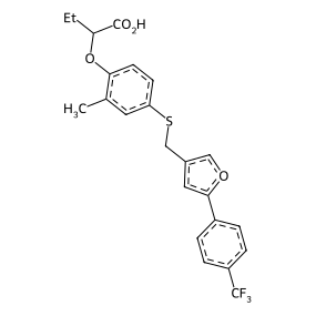 CCC(Oc1ccc(SCc2coc(-c3ccc(C(F)(F)F)cc3)c2)cc1C)C(=O)O